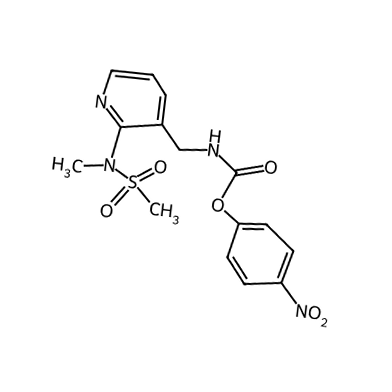 CN(c1ncccc1CNC(=O)Oc1ccc([N+](=O)[O-])cc1)S(C)(=O)=O